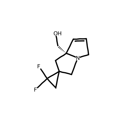 OC[C@]12C=CCN1CC1(CC1(F)F)C2